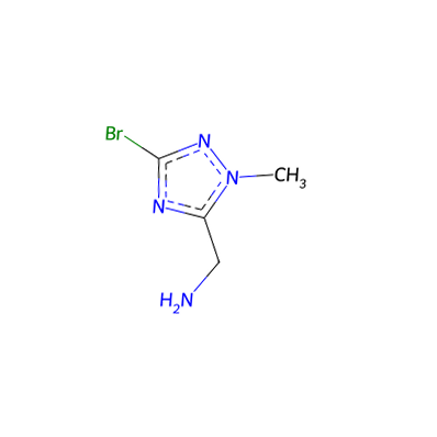 Cn1nc(Br)nc1CN